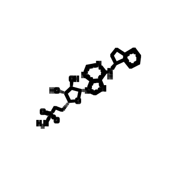 NS(=O)(=O)CC[C@H]1O[C@@H](n2cnc3c(N[C@H]4CCc5ccccc54)ncnc32)[C@H](O)[C@H]1O